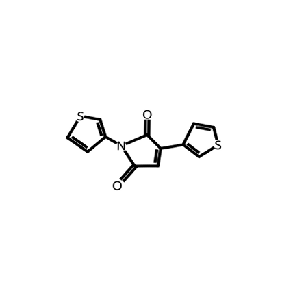 O=C1C=C(c2ccsc2)C(=O)N1c1ccsc1